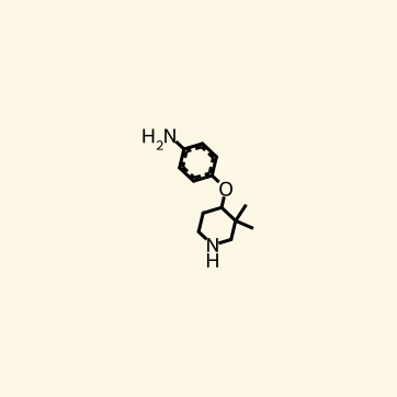 CC1(C)CNCCC1Oc1ccc(N)cc1